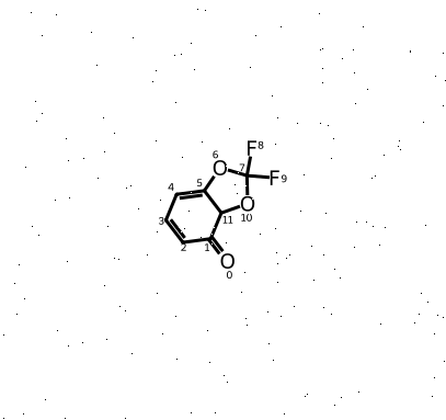 O=C1C=CC=C2OC(F)(F)OC12